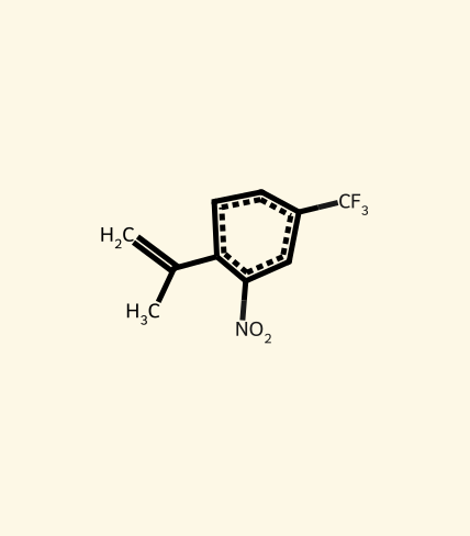 C=C(C)c1ccc(C(F)(F)F)cc1[N+](=O)[O-]